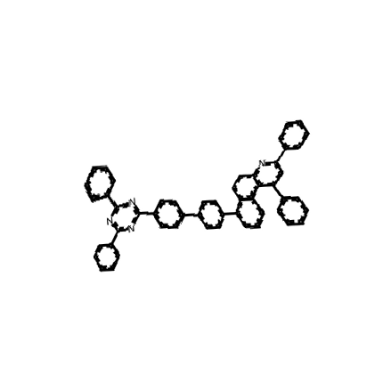 c1ccc(-c2cc(-c3ccccc3)c3c(ccc4c(-c5ccc(-c6ccc(-c7nc(-c8ccccc8)nc(-c8ccccc8)n7)cc6)cc5)cccc43)n2)cc1